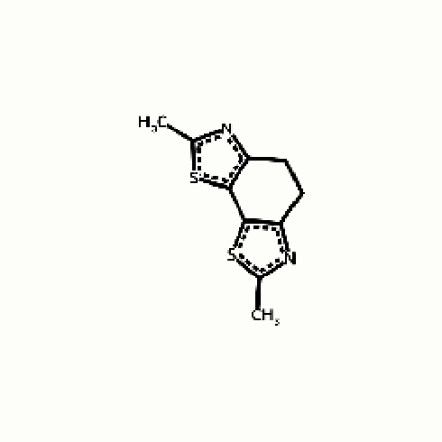 Cc1nc2c(s1)-c1sc(C)nc1CC2